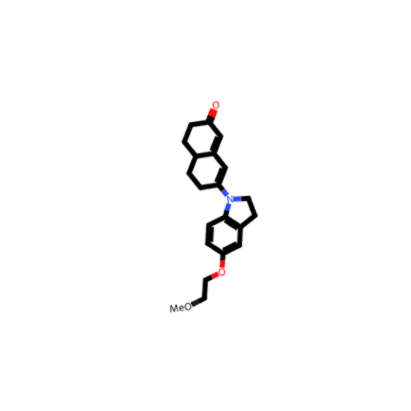 COCCOc1ccc2c(c1)CCN2C1=CC2=CC(=O)CCC2CC1